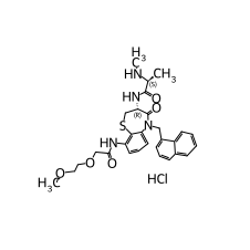 CN[C@@H](C)C(=O)N[C@H]1CSc2c(NC(=O)COCCOC)cccc2N(Cc2cccc3ccccc23)C1=O.Cl